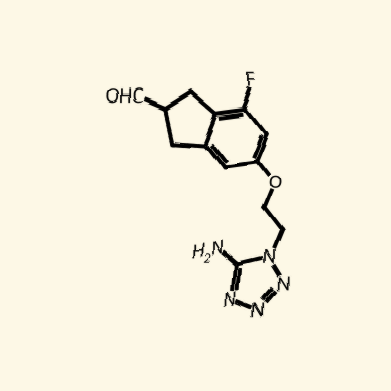 Nc1nnnn1CCOc1cc(F)c2c(c1)CC(C=O)C2